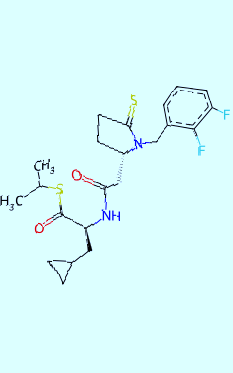 CC(C)SC(=O)[C@H](CC1CC1)NC(=O)C[C@@H]1CCC(=S)N1Cc1cccc(F)c1F